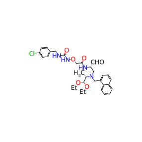 CCOC(OCC)[C@H](C)N(Cc1cccc2ccccc12)C[C@@H](C=O)NC(=O)CONC(=O)NCc1ccc(Cl)cc1